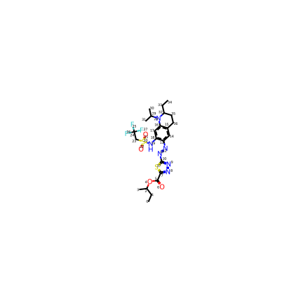 CCC(C)OC(=O)c1nnc(N=Nc2cc3c(cc2NS(=O)(=O)CC(F)(F)F)N(C(C)C)C(CC)CC3)s1